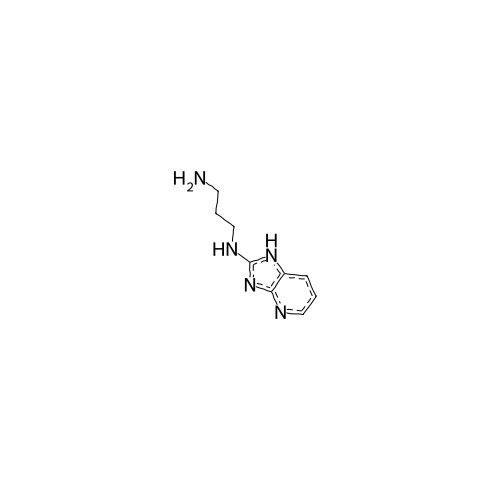 NCCCNc1nc2ncccc2[nH]1